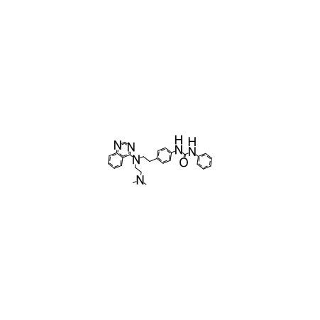 CN(C)CCN(CCc1ccc(NC(=O)Nc2ccccc2)cc1)c1ncnc2ccccc12